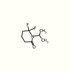 CC(C)N1C(=O)CCCC1(F)F